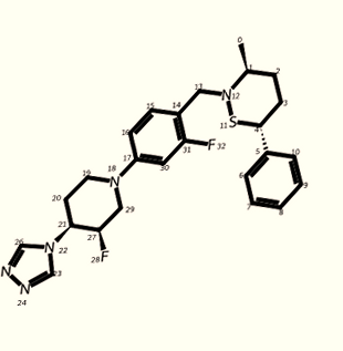 C[C@H]1CC[C@H](c2ccccc2)SN1Cc1ccc(N2CC[C@H](n3cnnc3)[C@H](F)C2)cc1F